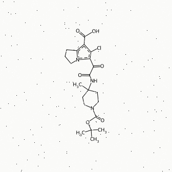 CC1(NC(=O)C(=O)c2c(Cl)c(C(=O)O)c3n2CCC3)CCN(C(=O)OC(C)(C)C)CC1